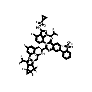 CS(=O)(=O)c1ccccc1-c1ccc2c(=O)n(-c3ccc(Cl)c4c(NS(=O)(=O)C5CC5)nn(CC(F)F)c34)c([C@H](Cc3cc(F)cc(F)c3)NC(=O)Cn3nc(C(F)F)c4c3C(F)(F)[C@@H]3C[C@H]43)nc2c1